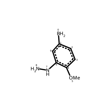 Bc1ccc(OC)c(NN)c1